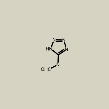 O=C[N]c1nnn[nH]1